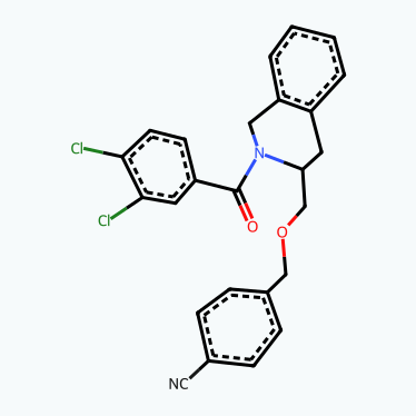 N#Cc1ccc(COCC2Cc3ccccc3CN2C(=O)c2ccc(Cl)c(Cl)c2)cc1